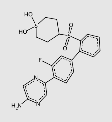 Nc1cnc(-c2ccc(-c3ccccc3S(=O)(=O)C3CCS(O)(O)CC3)cc2F)cn1